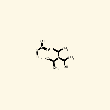 CC(O)N(C(C)O)C(C)O.COS(=O)O